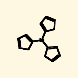 C1=CC[C]([Lu]([C]2=CC=CC2)[C]2=CC=CC2)=C1